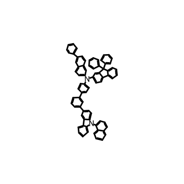 c1ccc(-c2ccc3cc(N(c4ccc(-c5cccc(-c6ccc7c(c6)c6ccccc6n7-c6cccc7ccccc67)c5)cc4)c4ccc5c(c4)C(c4ccccc4)(c4ccccc4)c4ccccc4-5)ccc3c2)cc1